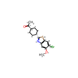 COc1cc2nc([C@H]3CC[C@H](C(C)=O)CC3)sc2cc1Br